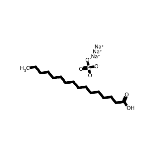 CCCCCCCCCCCCCCCC(=O)O.O=P([O-])([O-])[O-].[Na+].[Na+].[Na+]